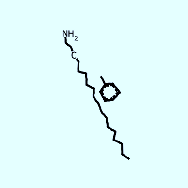 CCCCCCCCCCCCCCCCCCN.Cc1ccccc1